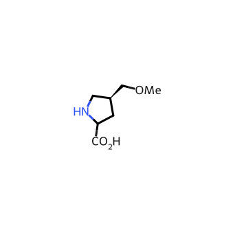 COC[C@@H]1CNC(C(=O)O)C1